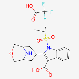 CC(C)S(=O)(=O)n1c(C2CC3COCC(C2)N3)c(C(=O)O)c2ccccc21.O=C(O)C(F)(F)F